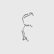 C=C[SiH2]C=C